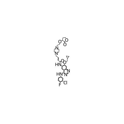 O=C(C=CCN1CCN(CCOC2CCOC2=O)CC1)Nc1cc2c(Nc3ccc(F)c(Cl)c3)ncnc2cc1OCC1CC1